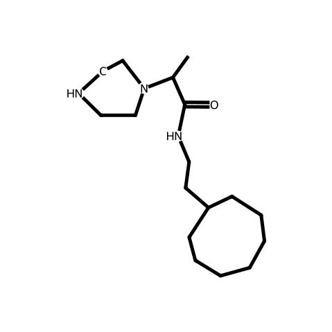 CC(C(=O)NCCC1CCCCCCC1)N1CCNCC1